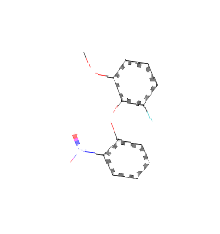 COc1cccc(F)c1Oc1ccccc1[N+](=O)[O-]